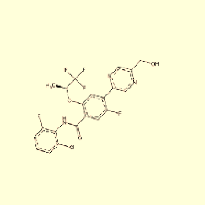 C[C@H](Oc1cc(-c2cnc(CO)cn2)c(F)cc1C(=O)Nc1c(F)cccc1Cl)C(F)(F)F